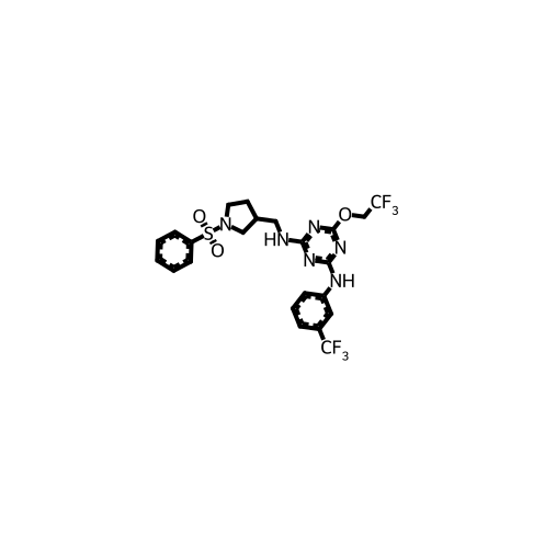 O=S(=O)(c1ccccc1)N1CCC(CNc2nc(Nc3cccc(C(F)(F)F)c3)nc(OCC(F)(F)F)n2)C1